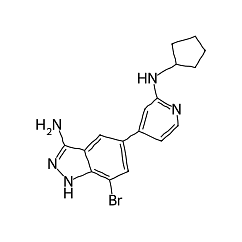 Nc1n[nH]c2c(Br)cc(-c3ccnc(NC4CCCC4)c3)cc12